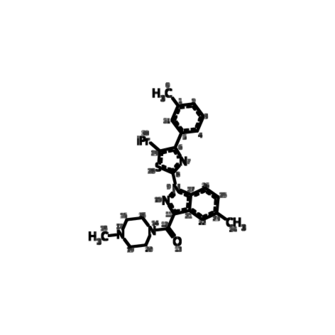 Cc1cccc(-c2nc(-n3nc(C(=O)N4CCN(C)CC4)c4cc(C)ccc43)sc2C(C)C)c1